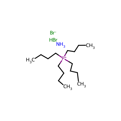 Br.CCCC[P+](CCCC)(CCCC)CCCC.N.[Br-]